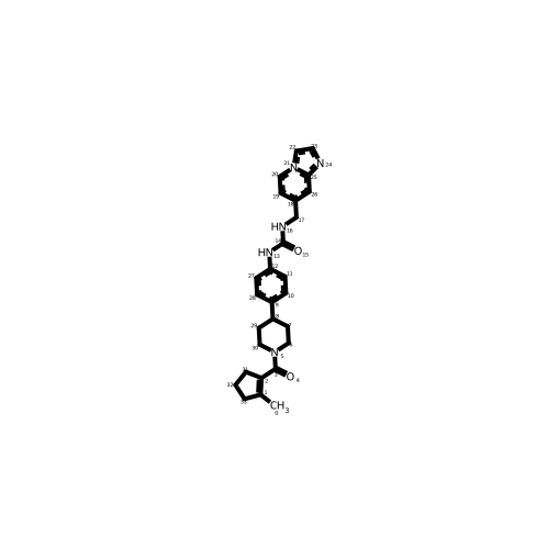 CC1=C(C(=O)N2CCC(c3ccc(NC(=O)NCc4ccn5ccnc5c4)cc3)CC2)CCC1